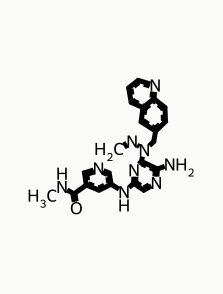 C=NN(Cc1ccc2ncccc2c1)c1nc(Nc2cncc(C(=O)NC)c2)cnc1N